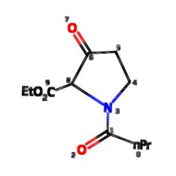 CCCC(=O)N1CCC(=O)C1C(=O)OCC